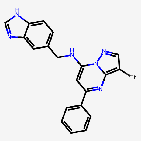 CCc1cnn2c(NCc3ccc4[nH]cnc4c3)cc(-c3ccccc3)nc12